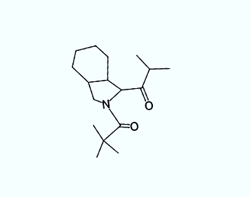 CC(C)C(=O)C1C2CCCCC2CN1C(=O)C(C)(C)C